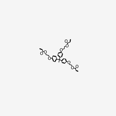 C=CC(=O)OCCOc1ccc(C(C)(c2ccc(OCCOC(=O)C=C)cc2)c2ccc(OCCOC(=O)C=C)cc2)cc1